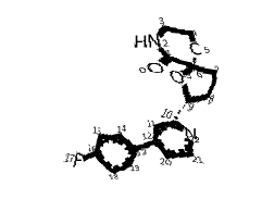 O=C1NCCC[C@@]12CC[C@H](c1cc(-c3ccc(F)cc3)ccn1)O2